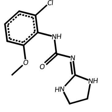 COc1cccc(Cl)c1NC(=O)N=C1NCCN1